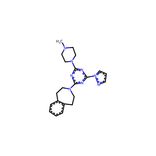 CN1CCN(c2nc(N3CCc4ccccc4CC3)nc(-n3cccn3)n2)CC1